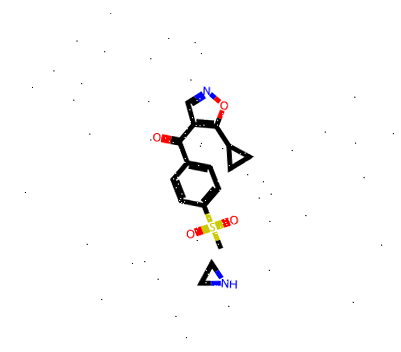 C1CN1.CS(=O)(=O)c1ccc(C(=O)c2cnoc2C2CC2)cc1